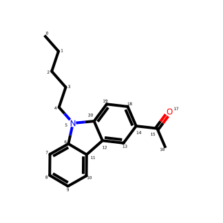 CCCCCn1c2ccccc2c2cc(C(C)=O)ccc21